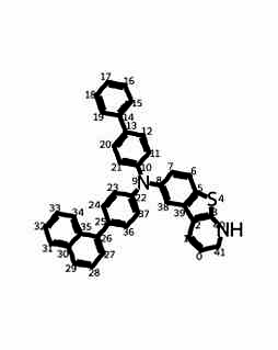 C1=Cc2c(sc3ccc(N(c4ccc(-c5ccccc5)cc4)c4ccc(-c5cccc6ccccc56)cc4)cc23)NC1